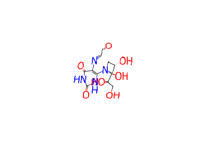 O=C/C=N/c1c(N2C[C@H](O)[C@]2(O)[C@H](O)CO)[nH]c(=O)[nH]c1=O